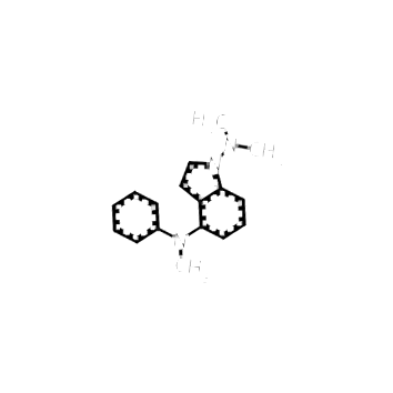 CN(c1ccccc1)c1cccc2c1ccn2N(C)C